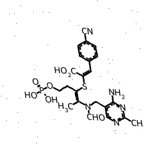 C/C(=C(\CCOP(=O)(O)O)S/C(=C/c1ccc(C#N)cc1)C(=O)O)N(C=O)Cc1cnc(C)nc1N